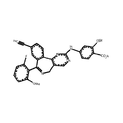 C#Cc1ccc2c(c1)C(c1c(F)cccc1OC)=NCc1cnc(Nc3ccc(C(=O)O)c(OC)c3)nc1-2